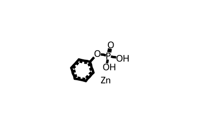 O=P(O)(O)Oc1ccccc1.[Zn]